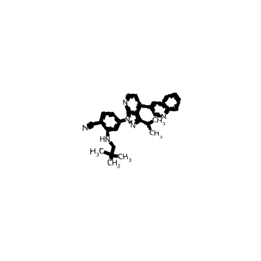 CC(C)c1nn(-c2ccc(C#N)c(NCC(C)(C)C)c2)c2nccc(-c3cnc4ccccc4c3)c12